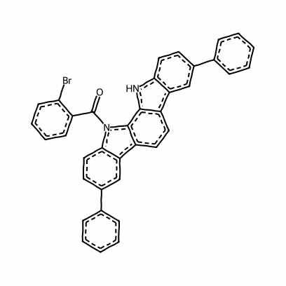 O=C(c1ccccc1Br)n1c2ccc(-c3ccccc3)cc2c2ccc3c4cc(-c5ccccc5)ccc4[nH]c3c21